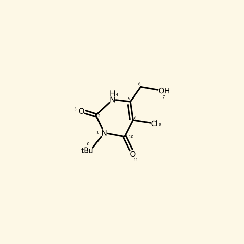 CC(C)(C)n1c(=O)[nH]c(CO)c(Cl)c1=O